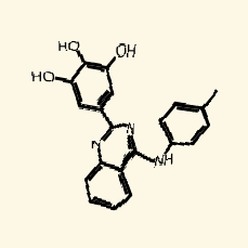 Cc1ccc(Nc2nc(-c3cc(O)c(O)c(O)c3)nc3ccccc23)cc1